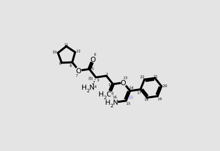 C=C(C[C@H](N)C(=O)OC1CCCC1)O/C(=C\N)c1ccccc1